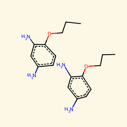 CCCOc1ccc(N)cc1N.CCCOc1ccc(N)cc1N